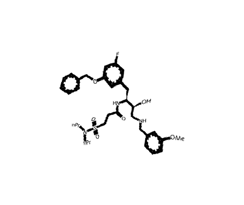 CCCN(CCC)S(=O)(=O)CCC(=O)N[C@@H](Cc1cc(F)cc(OCc2ccccc2)c1)[C@@H](O)CNCc1cccc(OC)c1